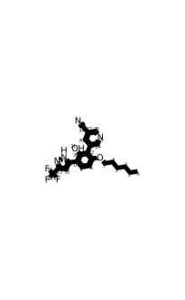 CCCCCCOc1ccc(-c2cc(C(F)(F)F)n[nH]2)c(O)c1-c1cncc(C#N)c1